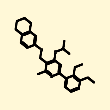 CCc1cccc(-c2cc(OC(C)C)c(COc3ccc4c(c3)CCCC4)c(C)n2)c1CC